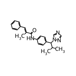 C/C(=C\c1ccccc1)C(=O)Nc1ccc(C(C(C)C)n2cncn2)cc1